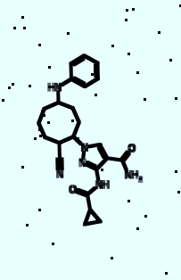 N#CC1CCCC(Nc2ccccc2)CCC1n1cc(C(N)=O)c(NC(=O)C2CC2)n1